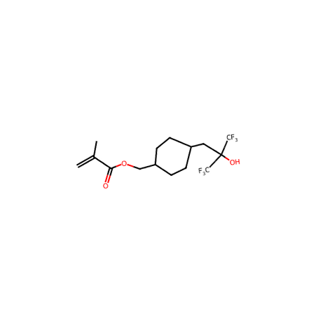 C=C(C)C(=O)OCC1CCC(CC(O)(C(F)(F)F)C(F)(F)F)CC1